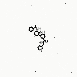 CC(NC1CCCc2c1[nH]c1ccc(C(=O)NCc3cccnc3)cc21)c1ccccc1